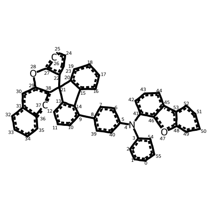 c1ccc(N(c2ccc(-c3cccc4c3-c3ccccc3C43c4ccccc4Oc4cc5ccccc5cc43)cc2)c2cccc3c2oc2ccccc23)cc1